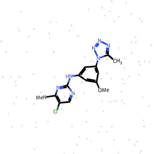 CNc1nc(Nc2cc(OC)cc(-n3nnnc3C)c2)ncc1Cl